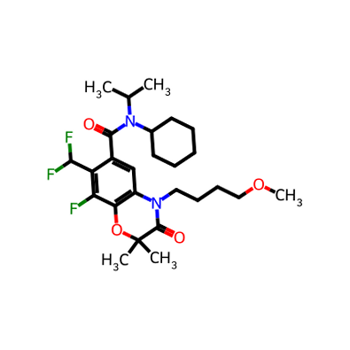 COCCCCN1C(=O)C(C)(C)Oc2c1cc(C(=O)N(C(C)C)C1CCCCC1)c(C(F)F)c2F